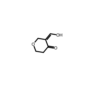 O=C1CCOCC1=CO